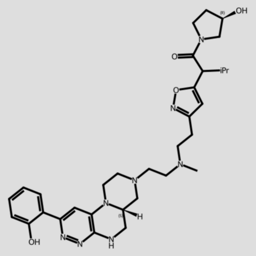 CC(C)C(C(=O)N1CC[C@@H](O)C1)c1cc(CCN(C)CCN2CCN3c4cc(-c5ccccc5O)nnc4NC[C@H]3C2)no1